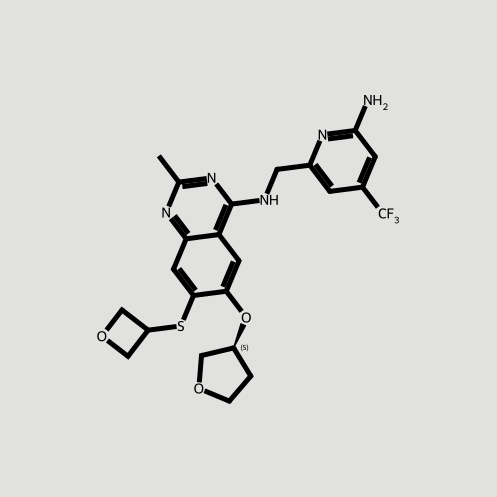 Cc1nc(NCc2cc(C(F)(F)F)cc(N)n2)c2cc(O[C@H]3CCOC3)c(SC3COC3)cc2n1